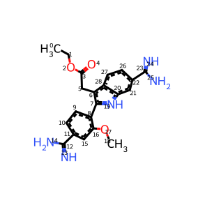 CCOC(=O)Cc1c(-c2ccc(C(=N)N)cc2OC)[nH]c2cc(C(=N)N)ccc12